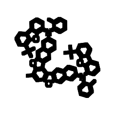 Cc1ccccc1N(c1ccc2cc3c(cc2c1)oc1cc(C)c2oc4cc5cc(N(c6ccccc6C)c6cccc7c6oc6c(C(C)(C)C)cccc67)ccc5cc4c2c13)c1cccc2c1oc1c(C(C)(C)C)cccc12